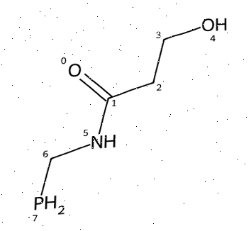 O=C(CCO)NCP